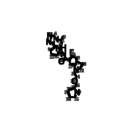 CC(C)n1cnnc1-c1cccc(NC(=O)c2cc3c(ccn3CCOCc3ccccn3)cc2F)n1